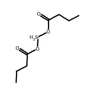 CCCC(=O)O[SiH2]OC(=O)CCC